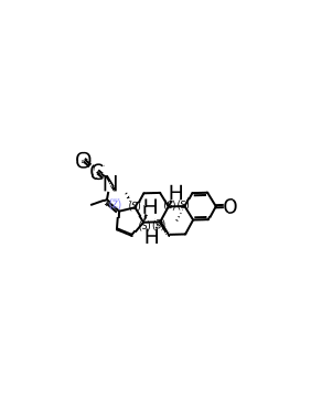 C/C(N=C=O)=C1\CC[C@H]2[C@@H]3CCC4=CC(=O)C=C[C@]4(C)[C@H]3CC[C@]12C